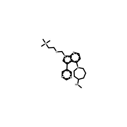 CNC1CCCN(c2ccnc3c2c(-c2cncnc2)cn3COCC[Si](C)(C)C)CC1